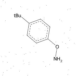 CC(C)(C)c1ccc(ON)cc1